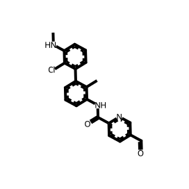 CNc1cccc(-c2cccc(NC(=O)c3ccc(C=O)cn3)c2C)c1Cl